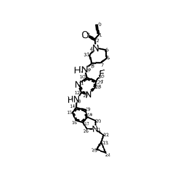 C=CC(=O)N1CCCC(Nc2nc(Nc3ccc4c(c3)CN(CC3CC3)C4)ncc2F)C1